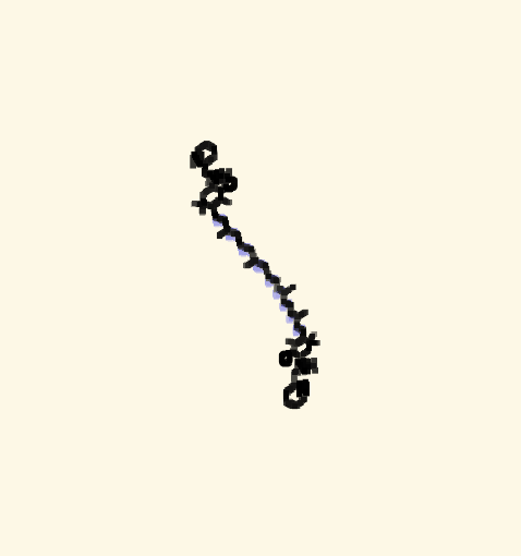 CC1=C(/C=C/C(C)=C/C=C/C(C)=C/C=C/C=C(C)/C=C/C=C(C)/C=C/C2=C(C)C(=O)C(NCc3ccccn3)CC2(C)C)C(C)(C)CC(NCc2ccccn2)C1=O